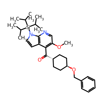 COc1cnc2c(ccn2[Si](C(C)C)(C(C)C)C(C)C)c1C(=O)[C@H]1CC[C@H](OCc2ccccc2)CC1